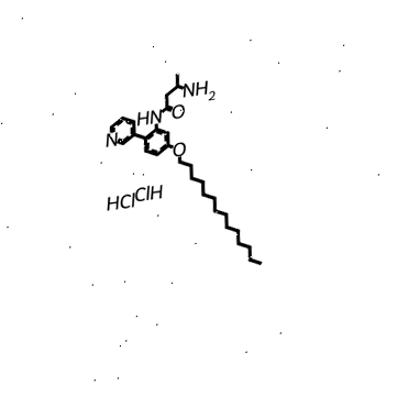 CCCCCCCCCCCCCCOc1ccc(-c2cccnc2)c(NC(=O)CC(C)N)c1.Cl.Cl